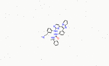 C[C@@H](NC(=O)Nc1cccc(-c2nc3ccccn3c2-c2ccnc(Nc3cccc(CCN(C)C)c3)n2)c1)c1ccccc1